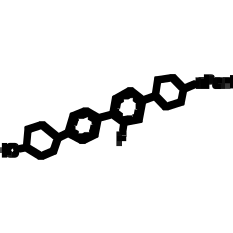 CCCCCC1CCC(c2ccc(-c3ccc(C4CCC(O)CC4)cc3)c(F)c2)CC1